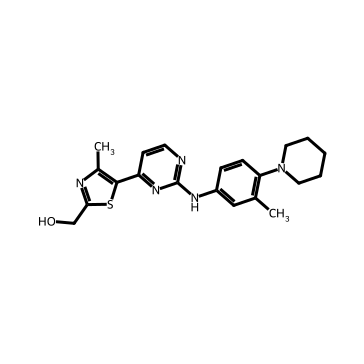 Cc1cc(Nc2nccc(-c3sc(CO)nc3C)n2)ccc1N1CCCCC1